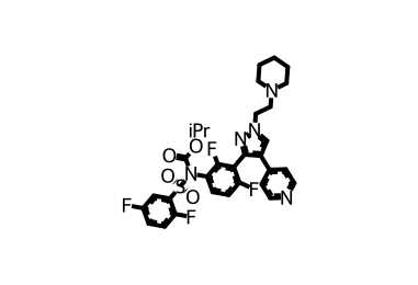 CC(C)OC(=O)N(c1ccc(F)c(-c2nn(CCN3CCCCC3)cc2-c2ccncc2)c1F)S(=O)(=O)c1cc(F)ccc1F